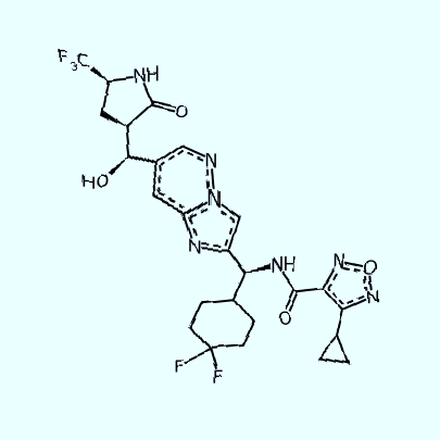 O=C(N[C@H](c1cn2ncc([C@@H](O)[C@H]3C[C@@H](C(F)(F)F)NC3=O)cc2n1)C1CCC(F)(F)CC1)c1nonc1C1CC1